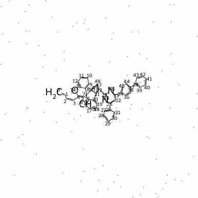 C=C/C=C\C1=C(C)C2(c3ccccc3O1)c1ccccc1-c1c(-c3nc(-c4ccccc4)cc(-c4ccc(-c5ccccc5)cc4)n3)cccc12